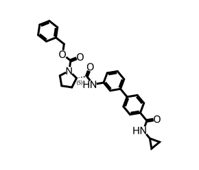 O=C(NC1CC1)c1ccc(-c2cccc(NC(=O)[C@@H]3CCCN3C(=O)OCc3ccccc3)c2)cc1